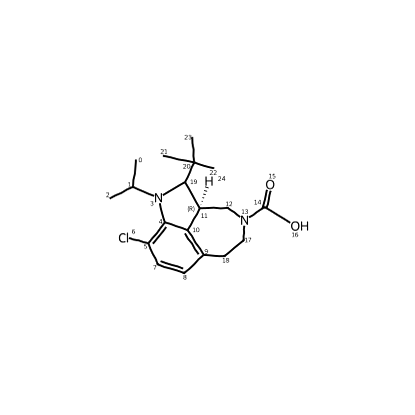 CC(C)N1c2c(Cl)ccc3c2[C@H](CN(C(=O)O)CC3)C1C(C)(C)C